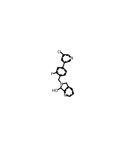 OC1c2ncccc2CN1Cc1ccc(-c2cncc(Cl)c2)cc1F